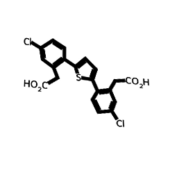 O=C(O)Cc1cc(Cl)ccc1-c1ccc(-c2ccc(Cl)cc2CC(=O)O)s1